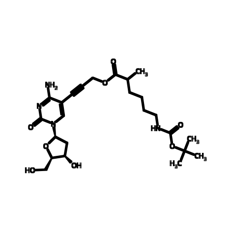 CC(CCCCNC(=O)OC(C)(C)C)C(=O)OCC#Cc1cn([C@H]2C[C@@H](O)[C@@H](CO)O2)c(=O)nc1N